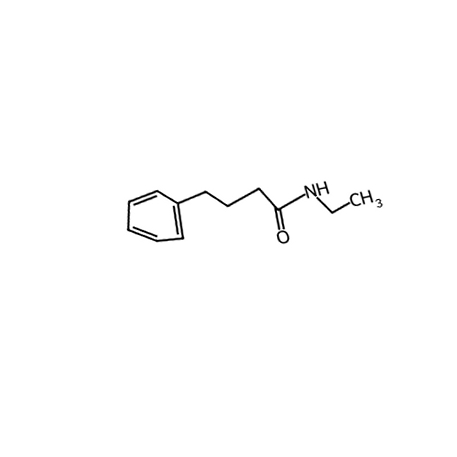 CCNC(=O)CCCc1ccccc1